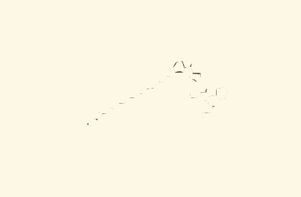 CN[C@@H](C)C(=O)N[C@H](C(=O)N1CCC[C@H]1c1nc(C(=O)c2cccc(OCCOCCOCCOCCOCCNC(=O)OC(C)(C)C)c2)cs1)C1CCCCC1